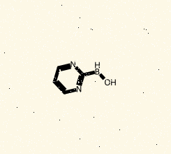 OBc1ncccn1